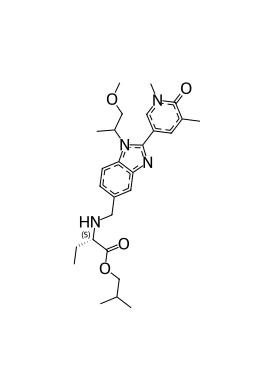 CC[C@H](NCc1ccc2c(c1)nc(-c1cc(C)c(=O)n(C)c1)n2C(C)COC)C(=O)OCC(C)C